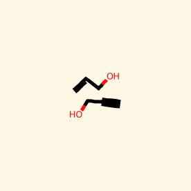 C#CCO.C=CCO